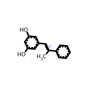 C/C(=C\c1cc(O)cc(O)c1)c1ccccc1